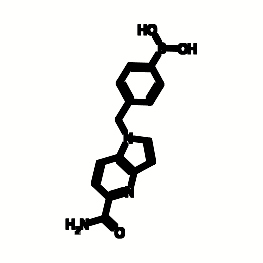 NC(=O)c1ccc2c(ccn2Cc2ccc(B(O)O)cc2)n1